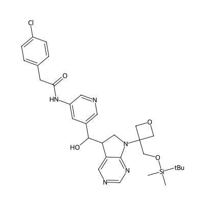 CC(C)(C)[Si](C)(C)OCC1(N2CC(C(O)c3cncc(NC(=O)Cc4ccc(Cl)cc4)c3)c3cncnc32)COC1